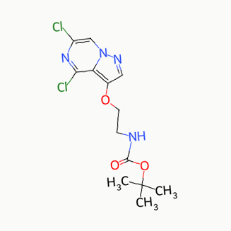 CC(C)(C)OC(=O)NCCOc1cnn2cc(Cl)nc(Cl)c12